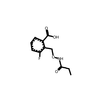 CCC(=O)NOCc1c(F)cccc1C(=O)O